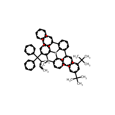 C=CC(C)C(c1ccccc1)(c1ccccc1)c1cc(-c2ccccc2)cc2c1B(C)c1ccc(-c3cc(C(C)(C)C)cc(C(C)(C)C)c3)cc1N2c1c(-c2ccccc2)cccc1-c1ccccc1